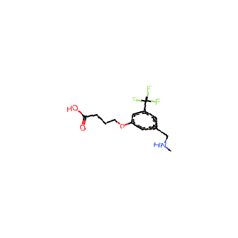 CNCc1cc(OCCCC(=O)O)cc(C(F)(F)F)c1